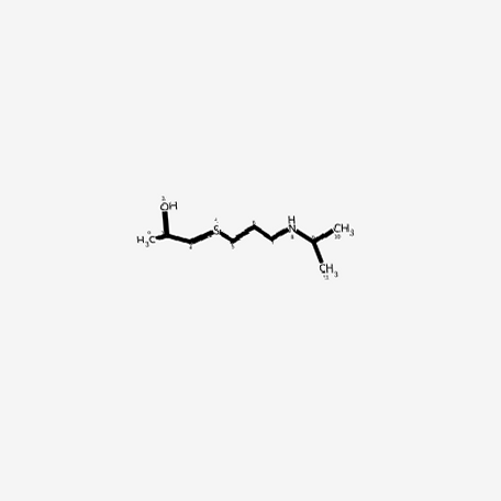 CC(O)CSCCCNC(C)C